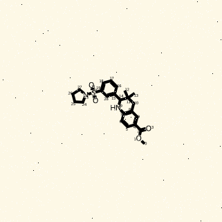 COC(=O)c1ccc2c(c1)CC(C)(C)C(c1cccc(S(=O)(=O)N3CCCC3)c1)N2